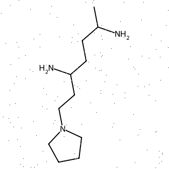 CC(N)CCC(N)CCN1CCCC1